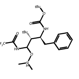 C[SiH](C)OC(NC(=O)C(F)(F)F)[C@@H]([C@H](Cc1ccccc1)NC(=O)OC(C)(C)C)C(C)(C)C